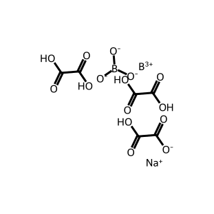 O=C(O)C(=O)O.O=C(O)C(=O)O.O=C([O-])C(=O)O.[B+3].[Na+].[O-]B([O-])[O-]